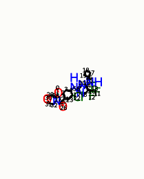 COc1cc(Nc2ncc(C(F)(F)F)c(NC3CCC3)n2)c(Cl)cc1C(=O)N1CCOCC1